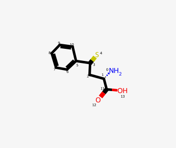 N[C@@H](CC(=S)c1ccccc1)C(=O)O